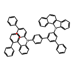 c1ccc(-c2ccc(N(c3ccc(-c4cc(-c5ccccc5)cc(-n5c6ccccc6c6ccc7ccccc7c65)c4)cc3)c3ccccc3-c3ccccc3-c3ccccc3)cc2)cc1